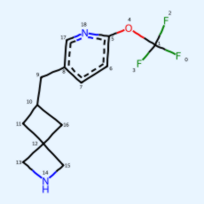 FC(F)(F)Oc1ccc(CC2CC3(CNC3)C2)cn1